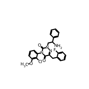 COc1cccc(-n2c(=O)c(Cc3ccccc3F)nn(CC(N)c3ccccc3)c2=O)c1Cl